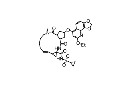 CCOc1cc(OC2CC3C(=O)NC4(C(=O)NS(=O)(=O)C5CC5)CC4/C=C/CCCCN(C)C(=O)C3C2)c2ccc3c(c2n1)OCO3